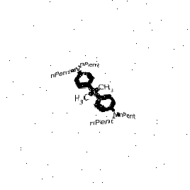 CCCCCN(CCCCC)c1ccc(C(C)(C)c2ccc(N(CCCCC)CCCCC)cc2)cc1